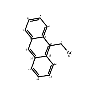 CC(=O)Cc1c2ccccc2cc2ccccc12